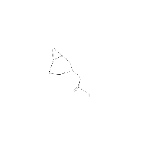 CCC(=O)OC1CCC2OC2C1